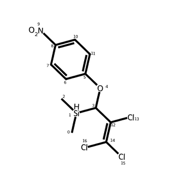 C[SiH](C)C(Oc1ccc([N+](=O)[O-])cc1)C(Cl)=C(Cl)Cl